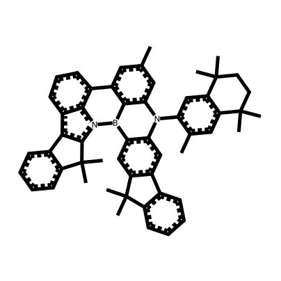 Cc1cc2c3c(c1)N(c1cc4c(cc1C)C(C)(C)CCC4(C)C)c1cc4c(cc1B3n1c3c(c5cccc-2c51)-c1ccccc1C3(C)C)C(C)(C)c1ccccc1-4